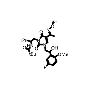 COc1ccc(F)cc1C(O)Cn1cc(/C(C)=N/OC(C)C)c(=O)n(CC(NC(=O)C(C)(C)C)C(C)C)c1=O